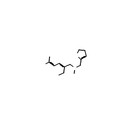 CC/C(=C\C=C(/C)O)CN(C)CC1=CCCO1